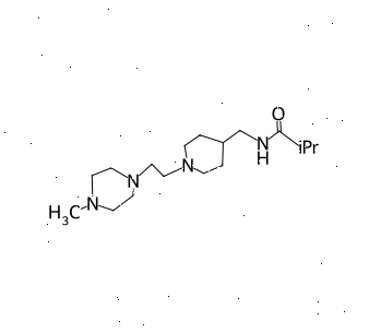 CC(C)C(=O)NCC1CCN(CCN2CCN(C)CC2)CC1